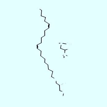 CC(C[N+](C)(C)C)P(=O)(O)O.CCCCC/C=C\CCCC/C=C\CCCCCCCCOC[C@@H](O)COC